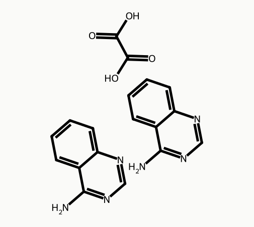 Nc1ncnc2ccccc12.Nc1ncnc2ccccc12.O=C(O)C(=O)O